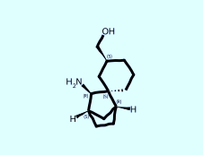 N[C@@H]1[C@H]2CC[C@H](C2)[C@@]12CCC[C@H](CO)C2